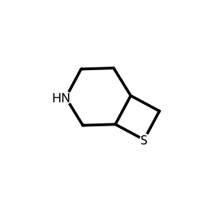 C1CC2CSC2CN1